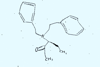 CC[C@@H](C(C)=O)N(Cc1ccccc1)Cc1ccccc1